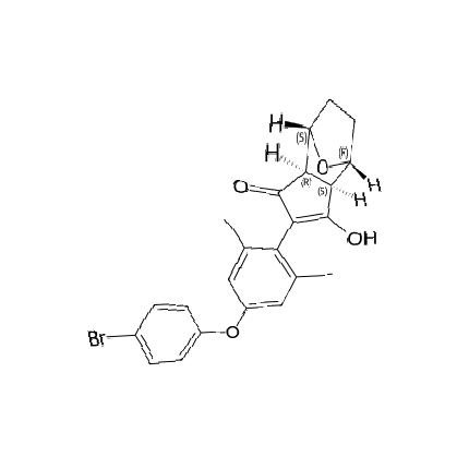 Cc1cc(Oc2ccc(Br)cc2)cc(C)c1C1=C(O)[C@H]2[C@@H](C1=O)[C@@H]1CC[C@H]2O1